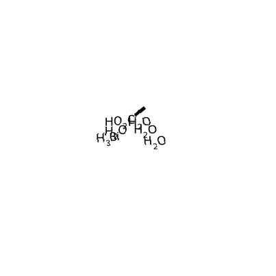 CC(=O)O.O.O.O.O.[BiH3]